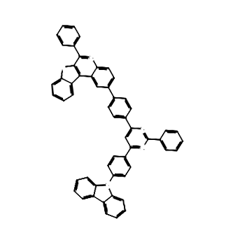 c1ccc(-c2nc(-c3ccc(-c4ccc5nc(-c6ccccc6)c6sc7ccccc7c6c5c4)cc3)cc(-c3ccc(-n4c5ccccc5c5ccccc54)cc3)n2)cc1